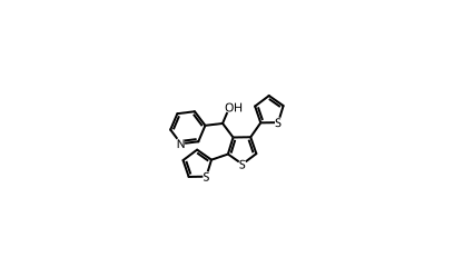 OC(c1cccnc1)c1c(-c2cccs2)csc1-c1cccs1